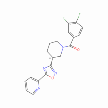 O=C(c1ccc(F)c(F)c1)N1CCC[C@H](c2noc(-c3ccccn3)n2)C1